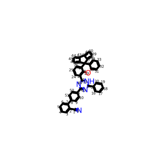 N#Cc1ccccc1-c1ccc(C2=NC(c3ccccc3)NC(c3cccc4c3Oc3ccccc3C43c4ccccc4-c4ccccc43)=N2)cc1